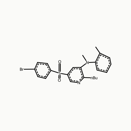 CCCCc1ncc(S(=O)(=O)c2ccc(Br)cc2)cc1N(C)c1ccccc1C